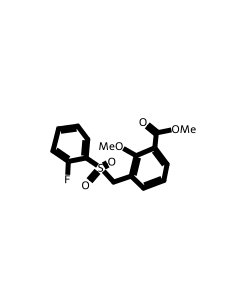 COC(=O)c1cccc(CS(=O)(=O)c2ccccc2F)c1OC